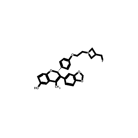 CC1=C(c2ccc3c(c2)OCO3)[C@@H](c2ccc(OCCN3CC(CF)C3)cc2)Oc2ccc(O)cc21